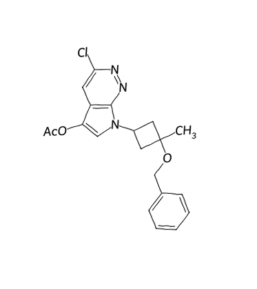 CC(=O)Oc1cn(C2CC(C)(OCc3ccccc3)C2)c2nnc(Cl)cc12